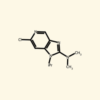 CC(C)n1c(N(C)C)nc2cnc(Cl)cc21